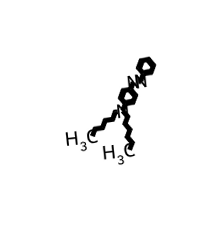 CCCCCCN(CCCCCC)c1ccc(N=Nc2ccccc2)cc1